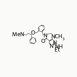 CCNc1ncc2c(n1)N(C)CCN(Cc1ccccc1COC(CCNC)c1ccccc1)C2=O